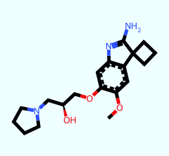 COc1cc2c(cc1OC[C@@H](O)CN1CCCC1)N=C(N)C21CCC1